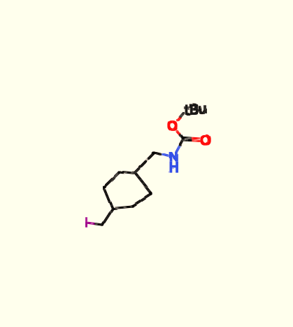 CC(C)(C)OC(=O)NCC1CCC(CI)CC1